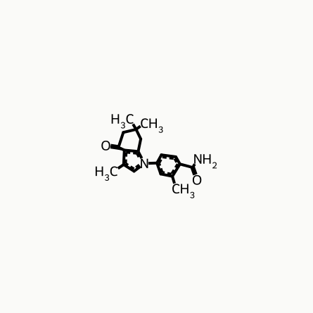 Cc1cc(-n2cc(C)c3c2CC(C)(C)CC3=O)ccc1C(N)=O